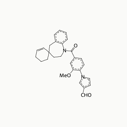 COc1cc(C(=O)N2CCC3(C=CCCC3)Cc3ccccc32)ccc1-n1ccc(C=O)c1